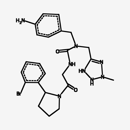 CN1N=C(CN(Cc2ccc(N)cc2)C(=O)NCC(=O)N2CCCC2c2ccccc2Br)NN1